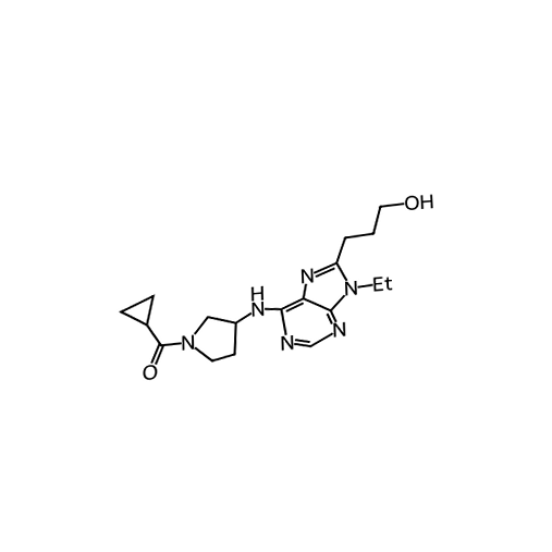 CCn1c(CCCO)nc2c(NC3CCN(C(=O)C4CC4)C3)ncnc21